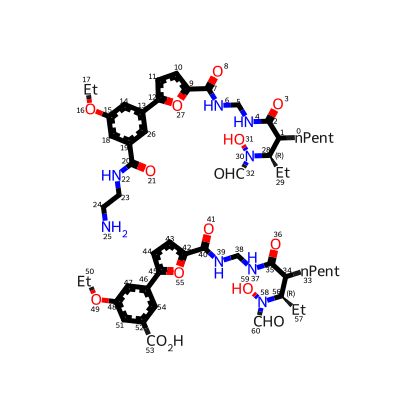 CCCCCC(C(=O)NCNC(=O)c1ccc(-c2cc(OCC)cc(C(=O)NCCN)c2)o1)[C@@H](CC)N(O)C=O.CCCCCC(C(=O)NCNC(=O)c1ccc(-c2cc(OCC)cc(C(=O)O)c2)o1)[C@@H](CC)N(O)C=O